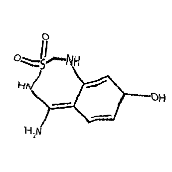 NC1=C2C=CC(O)C=C2NS(=O)(=O)N1